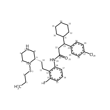 CCCSN1CCNC[C@@H]1CCc1c(F)cccc1NC(=O)CC(c1ccc(Cl)cc1)C1CCCCC1